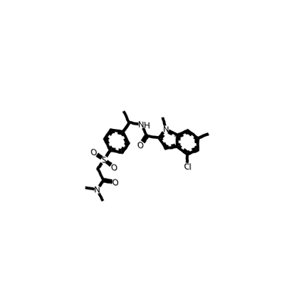 Cc1cc(Cl)c2cc(C(=O)NC(C)c3ccc(S(=O)(=O)CC(=O)N(C)C)cc3)n(C)c2c1